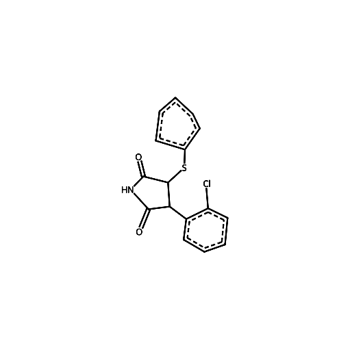 O=C1NC(=O)C(c2ccccc2Cl)C1Sc1ccccc1